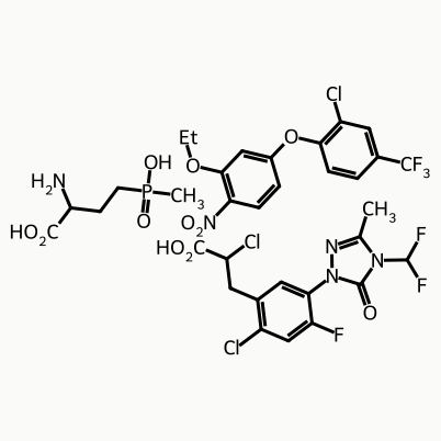 CCOc1cc(Oc2ccc(C(F)(F)F)cc2Cl)ccc1[N+](=O)[O-].CP(=O)(O)CCC(N)C(=O)O.Cc1nn(-c2cc(CC(Cl)C(=O)O)c(Cl)cc2F)c(=O)n1C(F)F